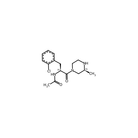 CC(=O)N[C@@H](Cc1ccccc1Cl)C(=O)N1CCN[C@@H](C)C1